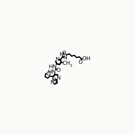 Cc1cc(NC(=O)Nc2cnc3ccnn3c2C2CCCO2)cnc1-c1noc(CCCCCC(=O)O)n1